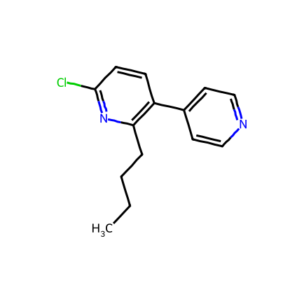 CCCCc1nc(Cl)ccc1-c1ccncc1